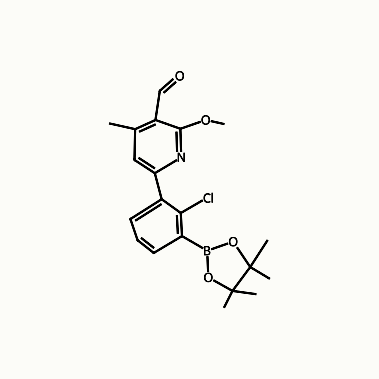 COc1nc(-c2cccc(B3OC(C)(C)C(C)(C)O3)c2Cl)cc(C)c1C=O